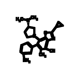 Cc1c(-c2cccc(N)c2)c(N2CC[C@H](N(C)C)C2)c2oc(C3CC3)nc2c1C#N